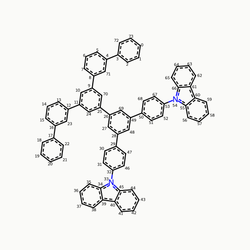 c1ccc(-c2cccc(-c3cc(-c4cccc(-c5ccccc5)c4)cc(-c4cc(-c5ccc(-n6c7ccccc7c7ccccc76)cc5)cc(-c5ccc(-n6c7ccccc7c7ccccc76)cc5)c4)c3)c2)cc1